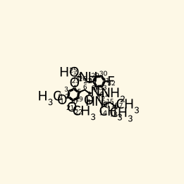 COc1ccc(CC(=O)N=C(N)N[C@H](C)CC(C)C)cc1OC.O=C(O)NCc1ccc(F)cc1